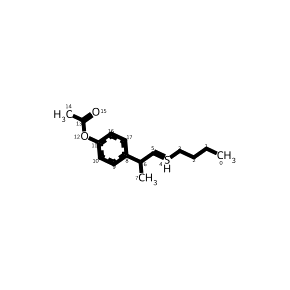 CCCC[SH]=CC(C)c1ccc(OC(C)=O)cc1